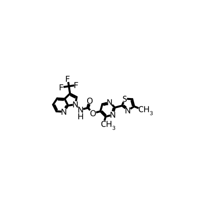 Cc1csc(-c2ncc(OC(=O)Nn3cc(C(F)(F)F)c4cccnc43)c(C)n2)n1